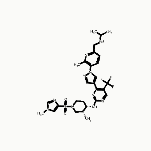 Cc1nc(CNC(C)C)ccc1-n1cc(-c2nc(N[C@H]3CCN(S(=O)(=O)c4cn(C)cn4)C[C@H]3C)ncc2C(F)(F)F)cn1